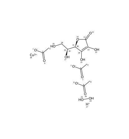 CC(=O)[O-].CC(=O)[O-].CC(=O)[O-].O=C1O[C@H]([C@@H](O)CO)C(O)=C1O.OO.[Cu+2].[H+]